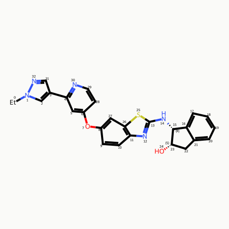 CCn1cc(-c2cc(Oc3ccc4nc(N[C@@H]5c6ccccc6C[C@@H]5O)sc4c3)ccn2)cn1